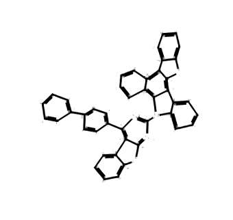 c1ccc(-c2ccc(-c3nc(-n4c5ccccc5c5c6sc7ccccc7c6c6ccccc6c54)nc4oc5ccccc5c34)cc2)cc1